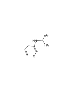 CCCC(CCC)NC1=[C]OC=CC1